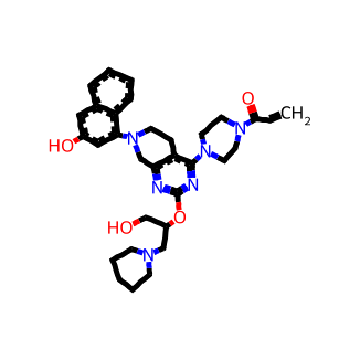 C=CC(=O)N1CCN(c2nc(OC(CO)CN3CCCCC3)nc3c2CCN(c2cc(O)cc4ccccc24)C3)CC1